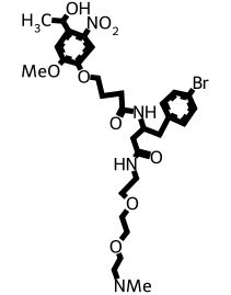 CNCCOCCOCCNC(=O)CC(Cc1ccc(Br)cc1)NC(=O)CCCOc1cc([N+](=O)[O-])c(C(C)O)cc1OC